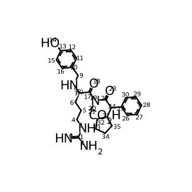 N=C(N)NCCC[C@@H](NCc1ccc(O)cc1)C(=O)N(CC(=O)O)C(=O)C(c1ccccc1)C1CCCC1